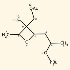 CCCCOC(C)CC1OC(C)C1(C)COC(C)=O